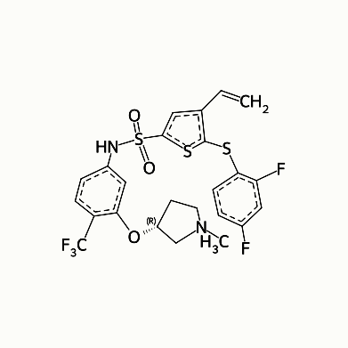 C=Cc1cc(S(=O)(=O)Nc2ccc(C(F)(F)F)c(O[C@@H]3CCN(C)C3)c2)sc1Sc1ccc(F)cc1F